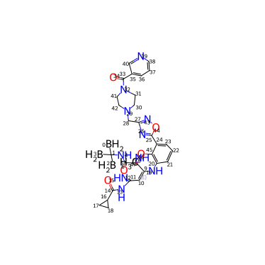 BC(B)(B)NC(=O)C(=N)/C(=C\C(=N)NC(=O)C1CC1)Nc1cccc(-c2nc(CN3CCN(C(=O)c4cccnc4)CC3)no2)c1OC